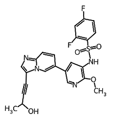 COc1ncc(-c2ccc3ncc(C#CC(C)O)n3c2)cc1NS(=O)(=O)c1ccc(F)cc1F